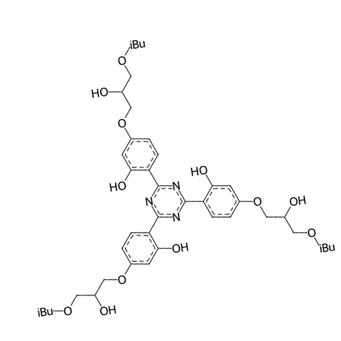 CCC(C)OCC(O)COc1ccc(-c2nc(-c3ccc(OCC(O)COC(C)CC)cc3O)nc(-c3ccc(OCC(O)COC(C)CC)cc3O)n2)c(O)c1